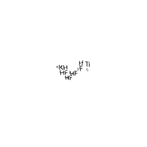 F.F.F.F.[KH].[Ti]